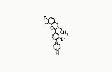 CCN(Cc1ccc(F)c(F)c1)C(=O)c1cnc(N2CCNCC2)c(Br)c1